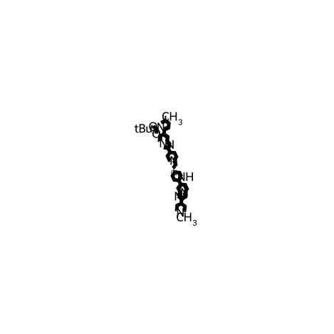 C[C@H]1CC=C(c2ccn3cc(C4CCN(CC[C@H]5CCC(c6ccn7cc(C8CCN(C)CC8)nc7c6)NC5)CC4)nc3c2)N(C(=O)OC(C)(C)C)C1